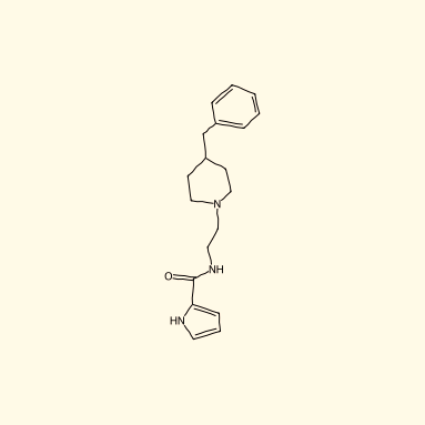 O=C(NCCN1CCC(Cc2ccccc2)CC1)c1ccc[nH]1